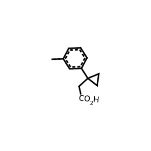 Cc1cccc(C2(CC(=O)O)CC2)c1